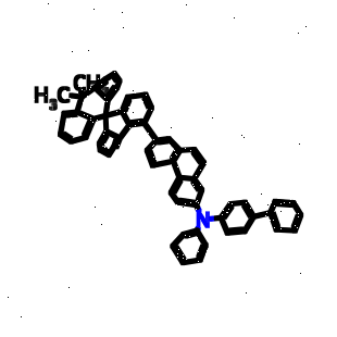 CC1(C)c2ccccc2C2(c3ccccc3-c3c(-c4ccc5c(ccc6cc(N(c7ccccc7)c7ccc(-c8ccccc8)cc7)ccc65)c4)cccc32)c2ccccc21